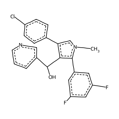 Cn1cc(-c2ccc(Cl)cc2)c(C(O)c2cccnc2)c1-c1cc(F)cc(F)c1